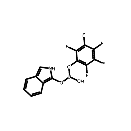 OB(Oc1c(F)c(F)c(F)c(F)c1F)Oc1[nH]cc2ccccc12